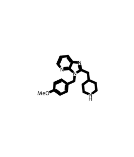 COc1ccc(Cn2c(CC3CCNCC3)nc3cccnc32)cc1